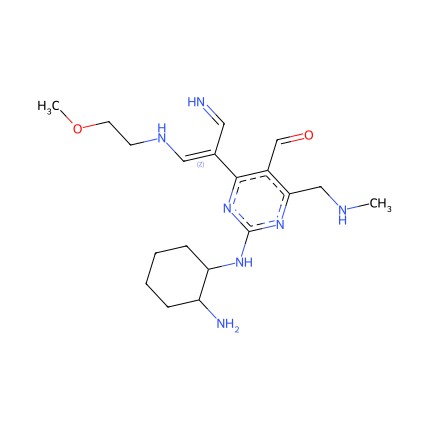 CNCc1nc(NC2CCCCC2N)nc(/C(C=N)=C/NCCOC)c1C=O